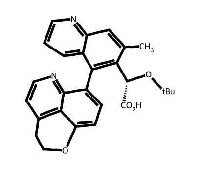 Cc1cc2ncccc2c(-c2ccc3c4c(ccnc24)CCO3)c1[C@H](OC(C)(C)C)C(=O)O